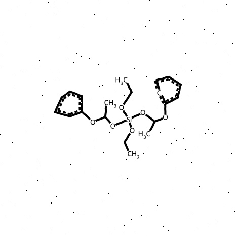 CCO[Si](OCC)(OC(C)Oc1ccccc1)OC(C)Oc1ccccc1